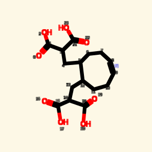 O=C(O)C(CC1CC/C=C\CCC1CC(C(=O)O)C(=O)O)C(=O)O